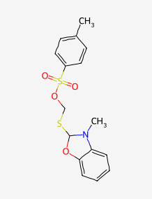 Cc1ccc(S(=O)(=O)OCSC2Oc3ccccc3N2C)cc1